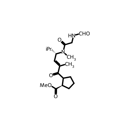 COC(=O)[C@@H]1CCCC1C(=O)/C(C)=C/[C@H](C(C)C)N(C)C(=O)CNC=O